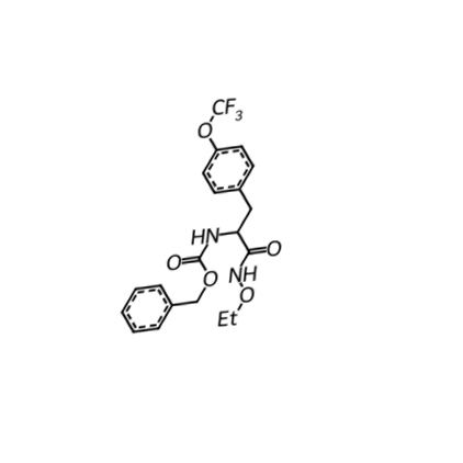 CCONC(=O)C(Cc1ccc(OC(F)(F)F)cc1)NC(=O)OCc1ccccc1